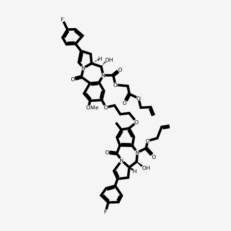 C=CCOC(=O)COC(=O)N1c2cc(OCCCOc3cc4c(cc3C)C(=O)N3C=C(c5ccc(F)cc5)C[C@H]3[C@H](O)N4C(=O)OCC=C)c(OC)cc2C(=O)N2C=C(c3ccc(F)cc3)C[C@H]2[C@@H]1O